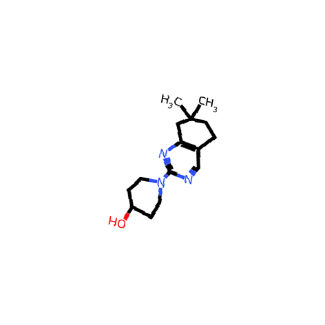 CC1(C)CCc2cnc(N3CCC(O)CC3)nc2C1